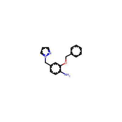 Nc1ccc(Cn2cccn2)cc1OCc1ccccc1